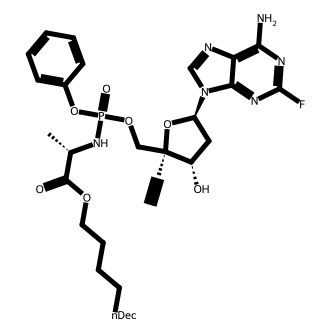 C#C[C@]1(COP(=O)(N[C@@H](C)C(=O)OCCCCCCCCCCCCCC)Oc2ccccc2)O[C@@H](n2cnc3c(N)nc(F)nc32)C[C@@H]1O